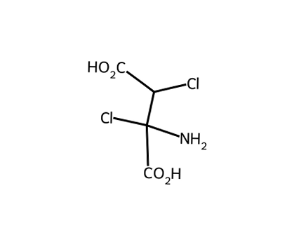 NC(Cl)(C(=O)O)C(Cl)C(=O)O